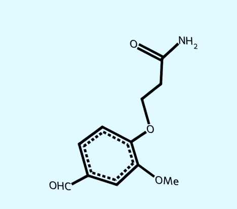 COc1cc(C=O)ccc1OCCC(N)=O